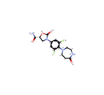 NC(=O)[C@H]1CN(c2cc(F)c(N3CCNC(=O)CC3)c(F)c2)C(=O)O1